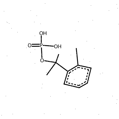 Cc1ccccc1C(C)(C)OP(=O)(O)O